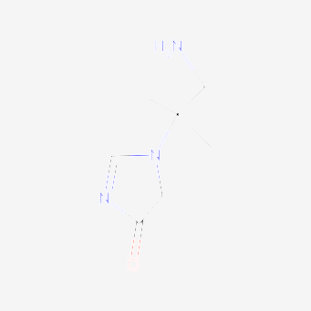 CC(C)(CN)N1C=NC(=O)C1